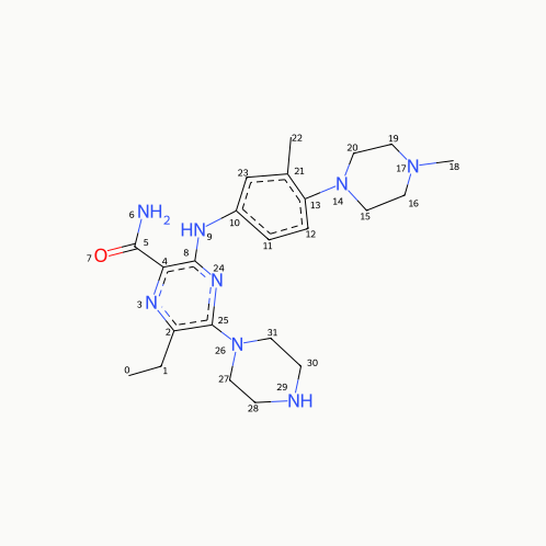 CCc1nc(C(N)=O)c(Nc2ccc(N3CCN(C)CC3)c(C)c2)nc1N1CCNCC1